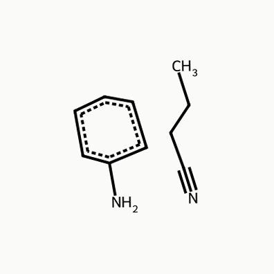 CCCC#N.Nc1ccccc1